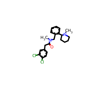 CN(Cc1ccccc1C1CCCCN1C)C(=O)Cc1ccc(Cl)c(Cl)c1